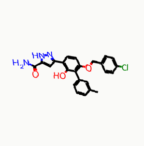 Cc1cccc(-c2c(OCc3ccc(Cl)cc3)ccc(-c3cc(C(N)=O)[nH]n3)c2O)c1